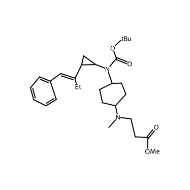 CC/C(=C\c1ccccc1)C1CC1N(C(=O)OC(C)(C)C)C1CCC(N(C)CCC(=O)OC)CC1